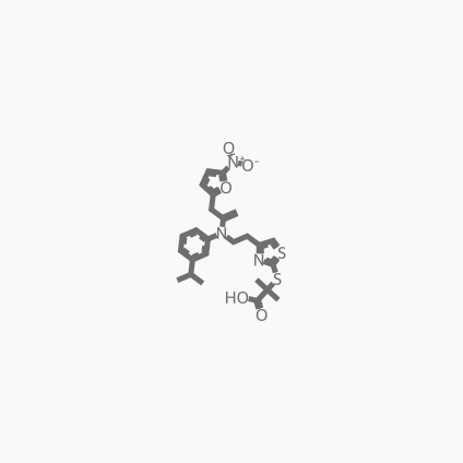 C=C(Cc1ccc([N+](=O)[O-])o1)N(CCc1csc(SC(C)(C)C(=O)O)n1)c1cccc(C(C)C)c1